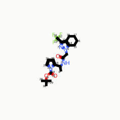 CC(NC(=O)Cn1nc(C(F)(F)F)c2c1CCCC2)c1cccn1C(=O)OC(C)(C)C